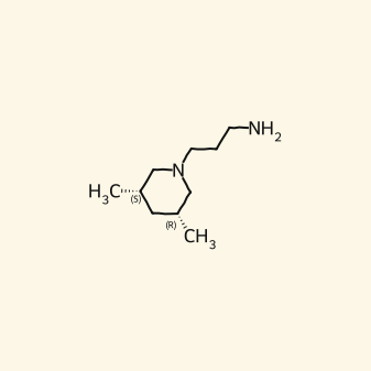 C[C@@H]1C[C@H](C)CN(CCCN)C1